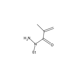 C=C(C)C(=O)N(N)CC